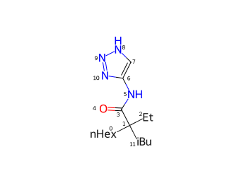 CCCCCCC(CC)(C(=O)Nc1c[nH]nn1)C(C)CC